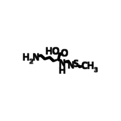 CCSN=CN[C@@H](CCCCN)C(=O)O